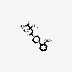 COc1ccccc1N1CCN(C(=O)[CH]C(C)(C)C(N)=O)CC1